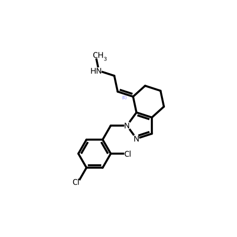 CNC/C=C1\CCCc2cnn(Cc3ccc(Cl)cc3Cl)c21